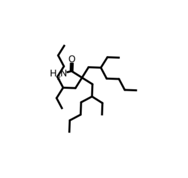 CCCCC(CC)CC(CC(CC)CCCC)(CC(CC)CCCC)C(N)=O